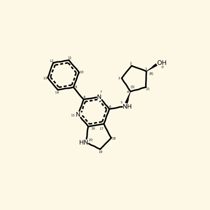 O[C@@H]1CC[C@H](Nc2nc(-c3ccccc3)nc3c2CCN3)C1